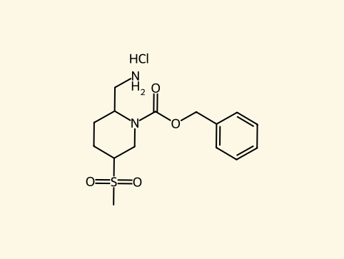 CS(=O)(=O)C1CCC(CN)N(C(=O)OCc2ccccc2)C1.Cl